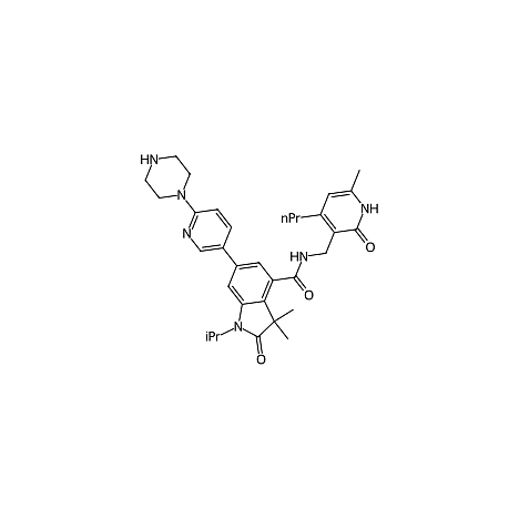 CCCc1cc(C)[nH]c(=O)c1CNC(=O)c1cc(-c2ccc(N3CCNCC3)nc2)cc2c1C(C)(C)C(=O)N2C(C)C